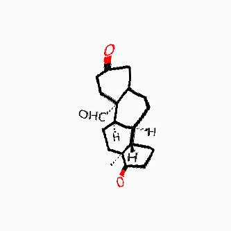 C[C@]12CC[C@@H]3[C@@H](CCC4CC(=O)CC[C@@]43C=O)[C@@H]1CCC2=O